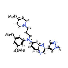 COc1cc(OC)cc(N(CCCN2CCC(OC)CC2)c2ccc3ncc(-c4cnn(C)c4)nc3c2)c1